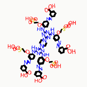 O=C(O)c1cccc(N=Nc2ccc(Nc3nc(Nc4ccc(N=Nc5cccc(C(=O)O)c5)cc4OCCS(=O)(=O)O)nc(N4CCN(c5nc(Nc6ccc(N=Nc7cccc(C(=O)O)c7)cc6OCCSOOO)nc(Nc6ccc(N=Nc7cccc(C(=O)O)c7)cc6OCCS(=O)(=O)O)n5)CC4)n3)c(OCCSOOO)c2)c1